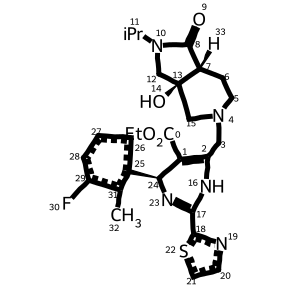 CCOC(=O)C1=C(CN2CC[C@H]3C(=O)N(C(C)C)C[C@@]3(O)C2)NC(c2nccs2)=N[C@H]1c1cccc(F)c1C